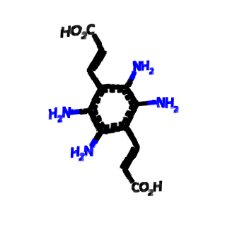 Nc1c(N)c(C=CC(=O)O)c(N)c(N)c1C=CC(=O)O